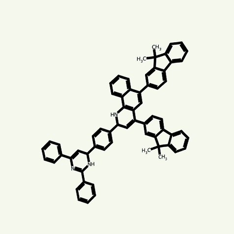 CC1(C)c2ccccc2-c2ccc(C3=CC(c4ccc(C5C=C(c6ccccc6)N=C(c6ccccc6)N5)cc4)Nc4c3cc(-c3ccc5c(c3)C(C)(C)c3ccccc3-5)c3ccccc43)cc21